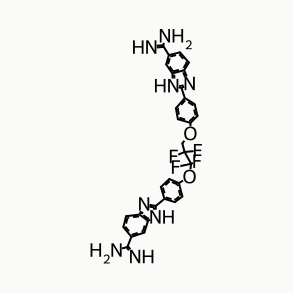 N=C(N)c1ccc2nc(-c3ccc(OCC(F)(F)C(F)(F)Oc4ccc(-c5nc6ccc(C(=N)N)cc6[nH]5)cc4)cc3)[nH]c2c1